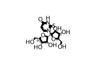 O=c1ccn([C@]2(C3O[C@H](CO)[C@@H](O)[C@H]3O)O[C@H](CO)[C@@H](O)[C@H]2O)c(=S)[nH]1